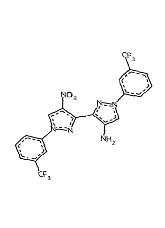 Nc1cn(-c2cccc(C(F)(F)F)c2)nc1-c1nn(-c2cccc(C(F)(F)F)c2)cc1[N+](=O)[O-]